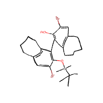 CC(C)(C)[Si](C)(C)Oc1c(Br)cc2c(c1-c1c(O)c(Br)cc3c1CCCC3)CCCC2